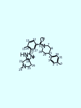 Cc1ccc(C2CCN(C(=O)c3ccc(C)c(-c4nc5c([nH]4)CN(C)CC5)c3)CC2)cc1